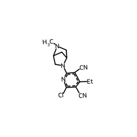 CCc1c(C#N)c(Cl)nc(N2CC3CC2CN3C)c1C#N